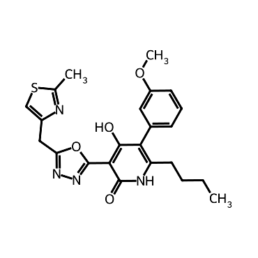 CCCCc1[nH]c(=O)c(-c2nnc(Cc3csc(C)n3)o2)c(O)c1-c1cccc(OC)c1